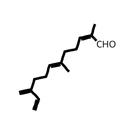 C=CC(=C)CC/C=C(\C)CC/C=C(/C)C=O